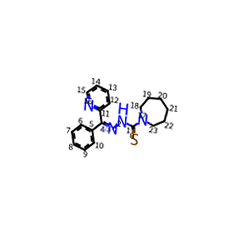 S=C(N/N=C(/c1ccccc1)c1ccccn1)N1CCCCCC1